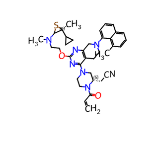 C=CC(=O)N1CCN(c2nc(OCCN(C)C3S[C@@]3(C)C3CC3)nc3c2CCN(c2cccc4cccc(C)c24)C3)C[C@@H]1CC#N